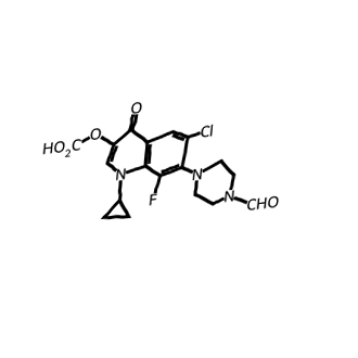 O=CN1CCN(c2c(Cl)cc3c(=O)c(OC(=O)O)cn(C4CC4)c3c2F)CC1